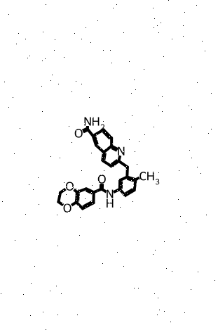 Cc1ccc(NC(=O)c2ccc3c(c2)OCCO3)cc1Cc1ccc2cc(C(N)=O)ccc2n1